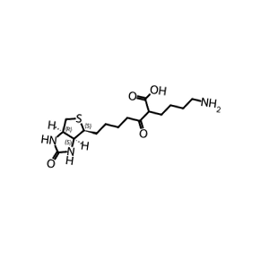 NCCCCC(C(=O)O)C(=O)CCCC[C@@H]1SC[C@@H]2NC(=O)N[C@@H]21